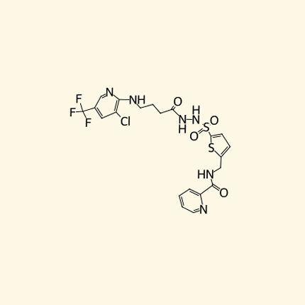 O=C(CCCNc1ncc(C(F)(F)F)cc1Cl)NNS(=O)(=O)c1ccc(CNC(=O)c2ccccn2)s1